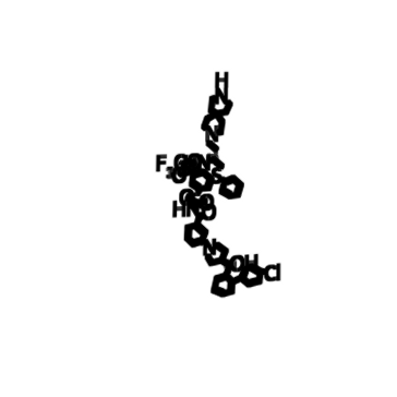 O=C(NS(=O)(=O)c1ccc(N[C@H](CCN2CCC3(CCNCC3)CC2)CSc2ccccc2)c(S(=O)(=O)C(F)(F)F)c1)c1cccc(N2CCC([C@@H](O)c3ccccc3-c3ccc(Cl)cc3)CC2)c1